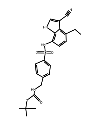 CCc1ccc(NS(=O)(=O)c2ccc(CNC(=O)OC(C)(C)C)cc2)c2[nH]cc(C#N)c12